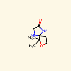 CC1(C)OCCC12NCC(=O)N2